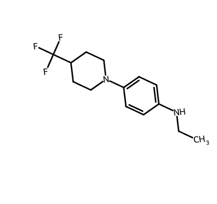 CCNc1ccc(N2CCC(C(F)(F)F)CC2)cc1